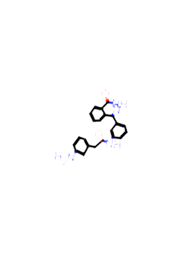 Nc1cccc(CC(=O)Nc2cccc(-c3n[nH]c(=O)c4ccccc34)c2)c1